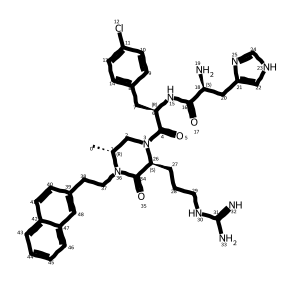 C[C@@H]1CN(C(=O)[C@@H](Cc2ccc(Cl)cc2)NC(=O)[C@@H](N)Cc2c[nH]cn2)[C@@H](CCCNC(=N)N)C(=O)N1CCc1ccc2ccccc2c1